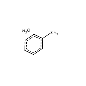 O.[SiH3]c1ccccc1